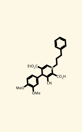 CCOC(=O)C1=CN(CCCc2ccccc2)C(C(=O)O)=C(C#N)C1c1ccc(OC)c(OC)c1